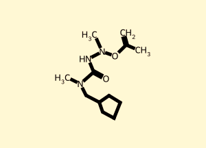 C=C(C)ON(C)NC(=O)N(C)CC1CCCC1